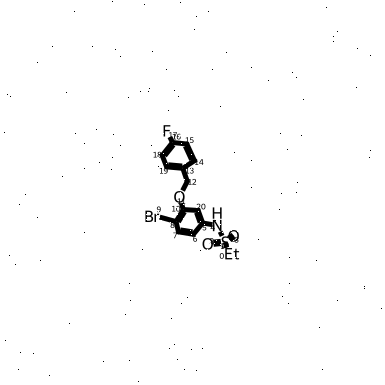 CCS(=O)(=O)Nc1ccc(Br)c(OCc2ccc(F)cc2)c1